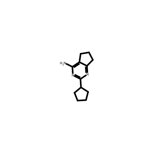 Nc1nc(C2CCCC2)nc2c1CCC2